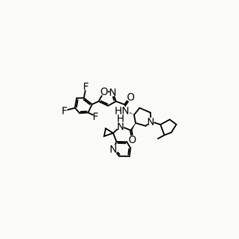 CC1CCCC1N1CC[C@@H](NC(=O)c2cc(-c3c(F)cc(F)cc3F)on2)[C@H](C(=O)NC2(c3ccccn3)CC2)C1